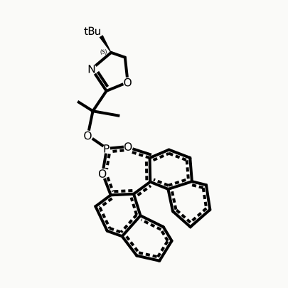 CC(C)(Op1oc2ccc3ccccc3c2c2c(ccc3ccccc32)o1)C1=N[C@@H](C(C)(C)C)CO1